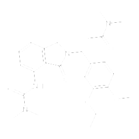 CCOc1cc([C@@H](CC(=O)N(C)C)N2Cc3cccc(NC(=O)N(C)C)c3C2=O)ccc1OC